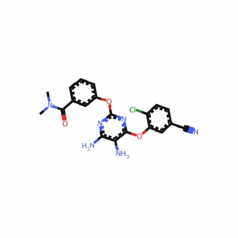 CN(C)C(=O)c1cccc(Oc2nc(N)c(N)c(Oc3cc(C#N)ccc3Cl)n2)c1